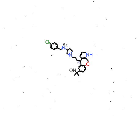 CC(=O)N(Cc1ccc(Cl)cc1)[C@H]1CCN(CC/C=C2\C3=C(COc4ccc(C(C)(C)N=O)cc42)NCC=C3)C1